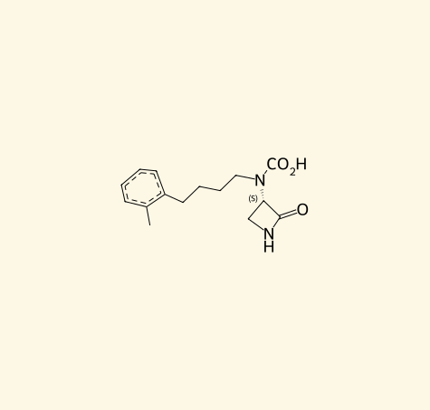 Cc1ccccc1CCCCN(C(=O)O)[C@H]1CNC1=O